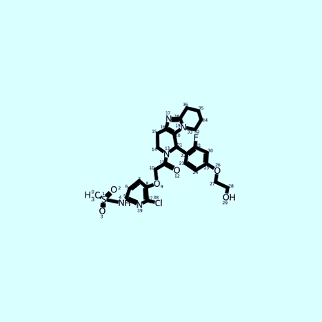 CS(=O)(=O)Nc1ccc(OCC(=O)N2CCc3nc4n(c3C2c2ccc(OCCO)cc2F)CCCC4)c(Cl)n1